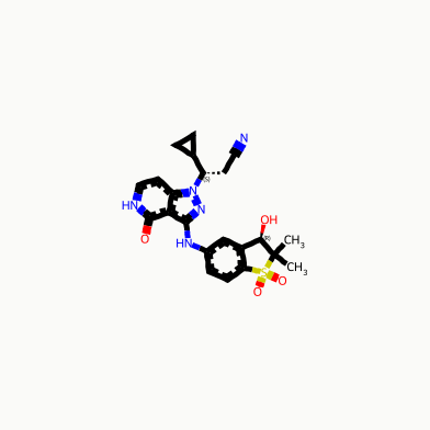 CC1(C)[C@H](O)c2cc(Nc3nn([C@@H](CC#N)C4CC4)c4cc[nH]c(=O)c34)ccc2S1(=O)=O